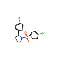 O=S(=O)(c1ccc(Br)cc1)N1CCCC1c1ccc(F)cc1